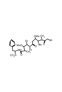 CCC(C)C(C(CC(=O)N(CC)C(CC)C(OC)C(C)C(=O)NC(Cc1ccccc1)C(=O)O)OC)N(C)C(=O)CC(C)C